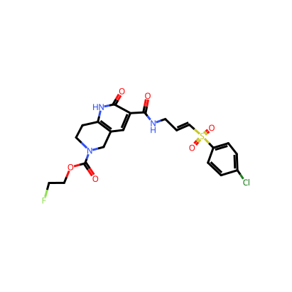 O=C(NC/C=C/S(=O)(=O)c1ccc(Cl)cc1)c1cc2c([nH]c1=O)CCN(C(=O)OCCF)C2